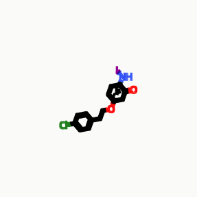 O=C1CC2(OCCc3ccc(Cl)cc3)CCC1(NI)CC2